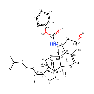 CC(C)CCC[C@@H](C)[C@H]1CC[C@H]2[C@@H]3CC=C4C[C@@H](O)CC(NC(=O)Oc5ccccc5)[C@]4(C)[C@H]3CC[C@]12C